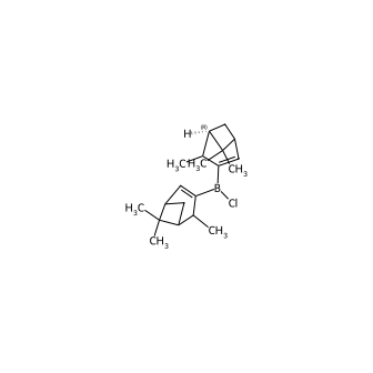 CC1C(B(Cl)C2=CC3C[C@H](C2C)C3(C)C)=CC2CC1C2(C)C